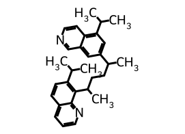 CC(C)c1ccc2cccnc2c1C(C)CCC(C)c1cc(C(C)C)c2ccncc2c1